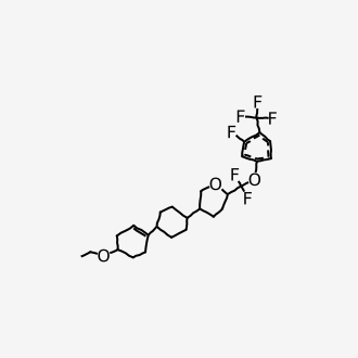 CCOC1CC=C(C2CCC(C3CCC(C(F)(F)Oc4ccc(C(F)(F)F)c(F)c4)OC3)CC2)CC1